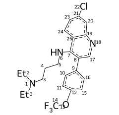 CCN(CC)CCCNc1c(-c2ccc(OC(F)(F)F)cc2)cnc2cc(Cl)ccc12